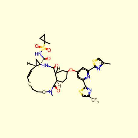 Cc1csc(-c2cc(O[C@H]3CC[C@H]4C(=O)N(C)CCCC/C=C\[C@@H]5C[C@@]5(C(=O)NS(=O)(=O)C5(C)CC5)NC(=O)[C@@H]4C3)cc(-c3nc(C(F)(F)F)cs3)n2)n1